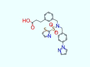 O=C(O)CCc1cccc(CN(Cc2ccc(-n3cccn3)cc2)S(=O)(=O)c2nccs2)c1